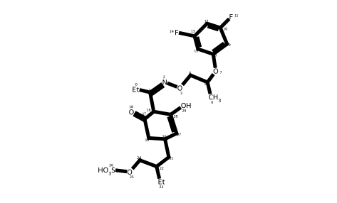 CCC(=NOCC(C)Oc1cc(F)cc(F)c1)C1C(=O)CC(CC(CC)COS(=O)(=O)O)C=C1O